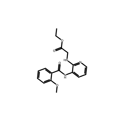 CCOC(=O)CNc1ncccc1NC(=O)c1ccccc1OC